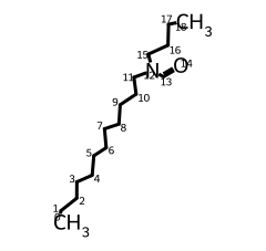 CCCCCCCCCCCCN(C=O)CCCC